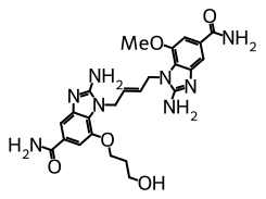 COc1cc(C(N)=O)cc2nc(N)n(CC=CCn3c(N)nc4cc(C(N)=O)cc(OCCCO)c43)c12